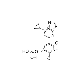 O=c1[nH]c(=O)n(COP(O)O)cc1-c1cc(C2CC2)n2nccc2n1